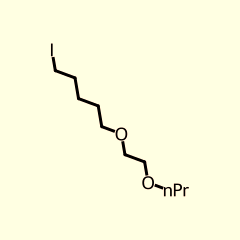 CCCOCCOCCCCCI